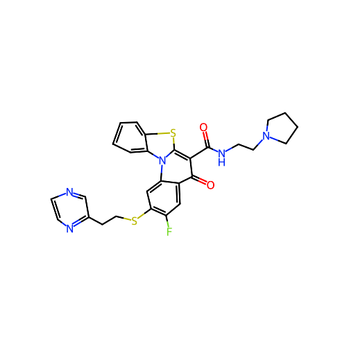 O=C(NCCN1CCCC1)c1c(=O)c2cc(F)c(SCCc3cnccn3)cc2n2c1sc1ccccc12